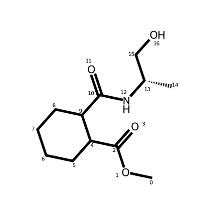 COC(=O)C1CCCCC1C(=O)N[C@@H](C)CO